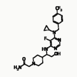 NC(=O)CN1CCC(C(CO)Nc2ncnc(N(Cc3ccc(C(F)(F)F)cc3)C3CC3)c2F)CC1